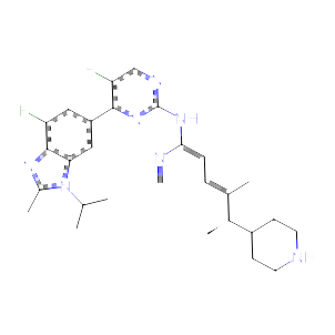 C=N/C(=C\C=C(/C)[C@H](C)C1CCNCC1)Nc1ncc(F)c(-c2cc(F)c3nc(C)n(C(C)C)c3c2)n1